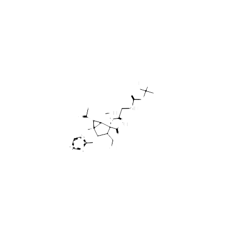 CCC1[C@H](Sc2nnc[nH]2)[C@@H]2[C@@H](C(=O)O)[C@@]2(CC)[C@]1(NC(=O)CNC(=O)OC(C)(C)C)C(=O)O